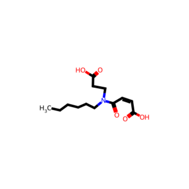 CCCCCCN(CCC(=O)O)C(=O)/C=C\C(=O)O